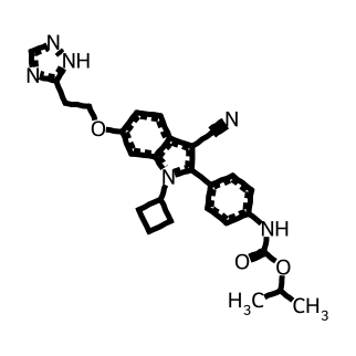 CC(C)OC(=O)Nc1ccc(-c2c(C#N)c3ccc(OCCc4ncn[nH]4)cc3n2C2CCC2)cc1